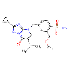 COCc1cc(Cn2cc(C(C)C)c(=O)n3nc(C4CC4)nc23)ccc1S(N)(=O)=O